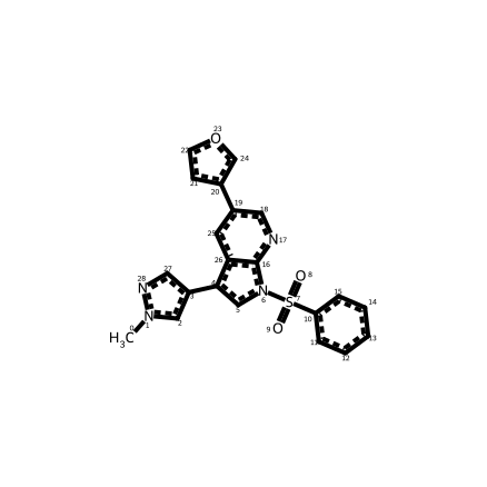 Cn1cc(-c2cn(S(=O)(=O)c3ccccc3)c3ncc(-c4ccoc4)cc23)cn1